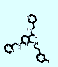 O=C(NCc1cccnc1)c1ccc(NCc2ccccn2)nc1NCCc1cccc(F)c1